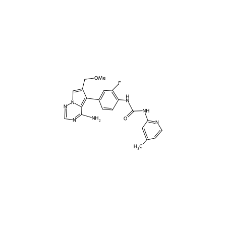 COCc1cn2ncnc(N)c2c1-c1ccc(NC(=O)Nc2cc(C)ccn2)c(F)c1